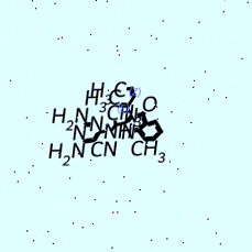 C/C=C\C(=C/C)n1c(C(C)Nc2nc(N)nc(N)c2C#N)nc2c(C)cccc2c1=O